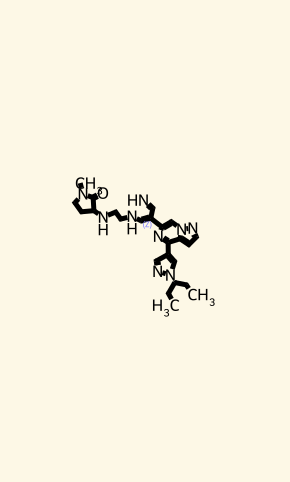 CCC(CC)n1cc(-c2nc(/C(C=N)=C/NCCNC3CCN(C)C3=O)cn3nccc23)cn1